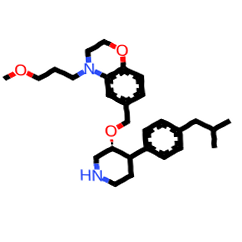 COCCCN1CCOc2ccc(CO[C@H]3CNCCC3c3ccc(CC(C)C)cc3)cc21